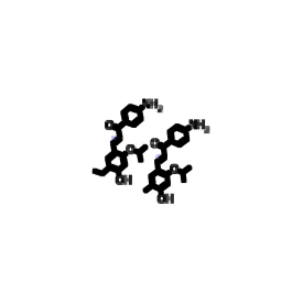 CCc1cc(/C=C/C(=O)c2ccc(N)cc2)c(OC(C)C)cc1O.Cc1cc(/C=C/C(=O)c2ccc(N)cc2)c(OC(C)C)cc1O